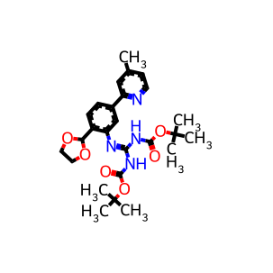 Cc1ccnc(-c2ccc(C3OCCO3)c(N=C(NC(=O)OC(C)(C)C)NC(=O)OC(C)(C)C)c2)c1